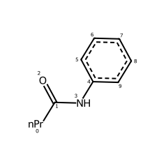 CCCC(=O)Nc1ccccc1